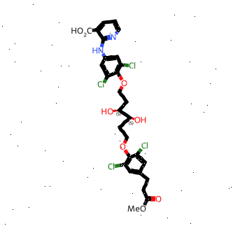 COC(=O)CCc1cc(Cl)c(OCC[C@H](O)[C@@H](O)CCOc2c(Cl)cc(Nc3ncccc3C(=O)O)cc2Cl)c(Cl)c1